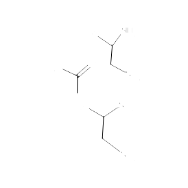 CC(=O)O.CC(N)CN.CC(N)CN